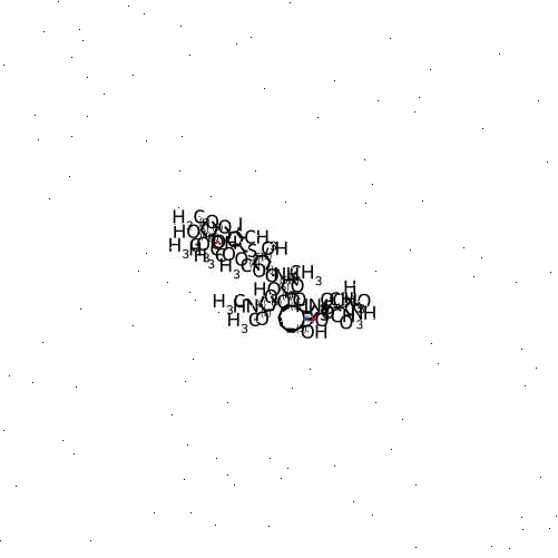 CCN[C@H]1CO[C@@H](O[C@H]2[C@H](O[C@H]3C#CC=CC#C[C@]4(O)CC(=O)C(NC(=O)OC)=C3/C4=C\CSSC(C)(C)C3NC(=O)NC3=O)O[C@H](C)[C@@H](NO[C@H]3C[C@H](O)[C@H](SC(=O)c4c(C)c(I)c(O[C@@H]5O[C@@H](C)[C@H](O)[C@@H](OC)[C@H]5O)c(OC)c4OC)[C@@H](C)O3)[C@@H]2O)C[C@@H]1OC